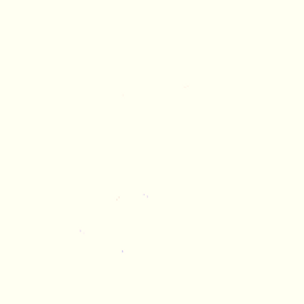 COC(=O)c1ccc(NC(=O)c2ncc[nH]2)cc1C